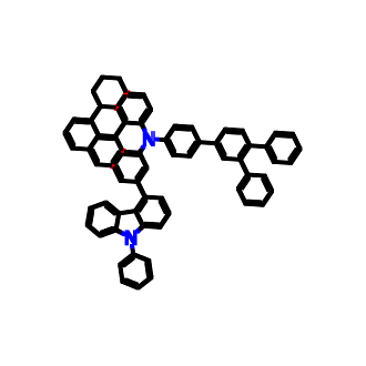 c1ccc(-c2ccc(-c3ccc(N(c4cccc(-c5cccc6c5c5ccccc5n6-c5ccccc5)c4)c4ccccc4-c4cccc5cccc(C6CCCCC6)c45)cc3)cc2-c2ccccc2)cc1